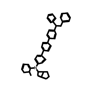 CC1CC=CC=C1N(c1ccc(-c2ccc(-c3ccc(C(Cc4ccccc4)c4ccccc4)cc3)cc2)cc1)C1C2CCC3C2C31